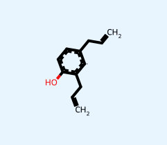 C=CCc1[c]c(CC=C)c(O)cc1